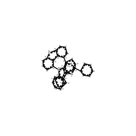 c1ccc(-c2nc(-c3ccccc3)nc(-c3cccc4oc5cccc(-n6c7ccccc7c7ccccc76)c5c34)n2)cc1